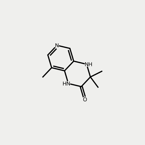 Cc1cncc2c1NC(=O)C(C)(C)N2